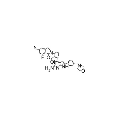 Nc1nc(-c2cccc(-n3ccc4cc(C5CC5)cc(F)c4c3=O)c2CO)c2cc(-c3ccc(CN4CCOCC4)cc3)[nH]c2n1